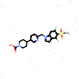 CS(=O)(=O)c1c(F)cc2c(ccn2Cc2ccc(C3CCN(C(=O)O)CC3)cn2)c1F